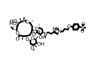 CC[C@H]1OC(=O)[C@H](C)[C@@H](O[C@H]2C[C@@](C)(OC)[C@@H](O)[C@H](C)O2)C[C@@H](O[C@@H]2O[C@H](C)C[C@H](N(C)CCc3cn(CCCOc4ccc(S(C)(=O)=O)cc4)nn3)[C@H]2O)[C@](C)(O)C[C@@H](C)CN(C)[C@H](C)[C@@H](O)[C@]1(C)O